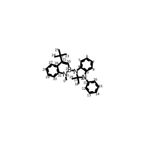 CN1B(N2c3ccccc3N(c3ccccc3)C2(C)C)C=C(C(C)(C)C)c2ccccc21